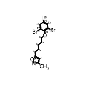 Cc1cc(CCCCCOc2c(Br)cc(I)cc2Br)on1